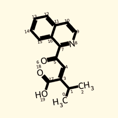 CC(C)/C(=C/C(=O)c1nccc2ccccc12)C(=O)O